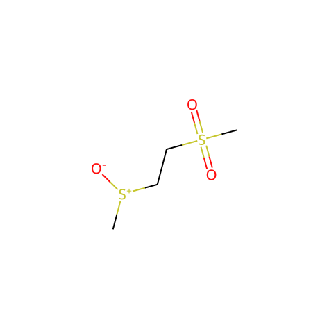 C[S+]([O-])CCS(C)(=O)=O